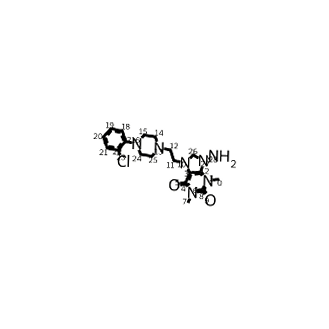 Cn1c2c(c(=O)n(C)c1=O)N(CCN1CCN(c3ccccc3Cl)CC1)CN2N